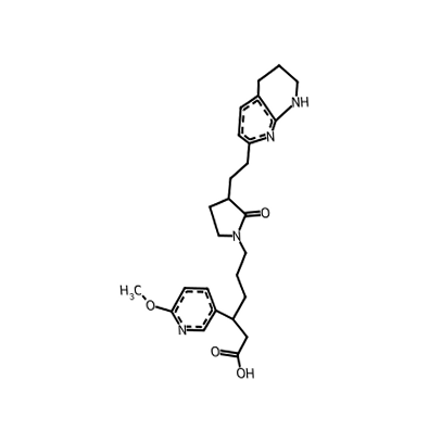 COc1ccc(C(CCCN2CCC(CCc3ccc4c(n3)NCCC4)C2=O)CC(=O)O)cn1